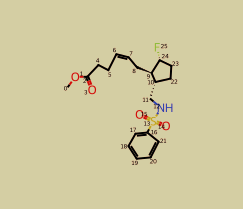 COC(=O)CC/C=C\C[C@@H]1[C@@H](CNS(=O)(=O)c2ccccc2)CC[C@H]1F